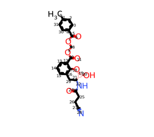 Cc1ccc(C(=O)OCOC(=O)c2cccc3c2OB(O)[C@@H](NC(=O)CCC#N)C3)cc1